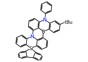 CC(C)(C)c1ccc2c(c1)N(c1ccccc1)c1cccc3c1B2c1cccc2c1N3c1ccccc1[Si]21c2ccccc2-c2ccccc21